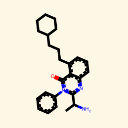 CC(N)c1nc2cccc(CCCC3CCCCC3)c2c(=O)n1-c1ccccc1